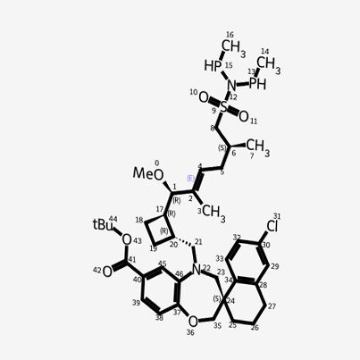 CO[C@@H](/C(C)=C/C[C@H](C)CS(=O)(=O)N(PC)PC)[C@@H]1CC[C@H]1CN1C[C@@]2(CCCc3cc(Cl)ccc32)COc2ccc(C(=O)OC(C)(C)C)cc21